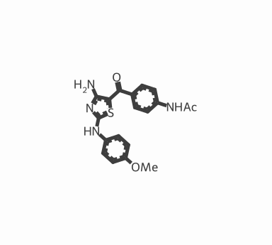 COc1ccc(Nc2nc(N)c(C(=O)c3ccc(NC(C)=O)cc3)s2)cc1